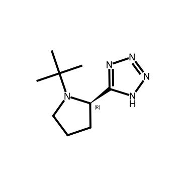 CC(C)(C)N1CCC[C@@H]1c1nnn[nH]1